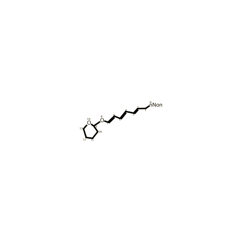 CCCCCCCCCC/C=C/C=C/C=C/OC1CCCCO1